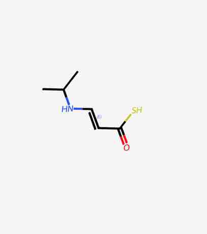 CC(C)N/C=C/C(=O)S